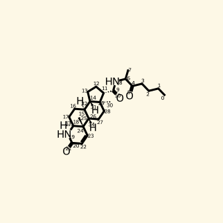 CCCCC(=O)C(C)NC(=O)[C@H]1CC[C@H]2[C@@H]3CC[C@@H]4NC(=O)C=C[C@@]4(C)[C@H]3CC[C@]12C